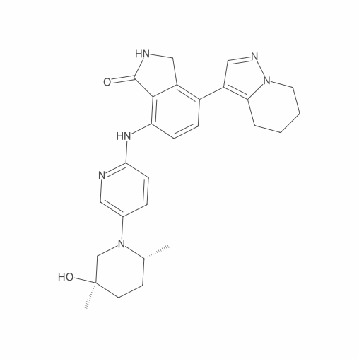 C[C@@H]1CC[C@@](C)(O)CN1c1ccc(Nc2ccc(-c3cnn4c3CCCC4)c3c2C(=O)NC3)nc1